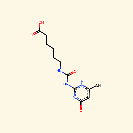 Cc1cc(=O)nc(NC(=O)NCCCCCC(=O)O)[nH]1